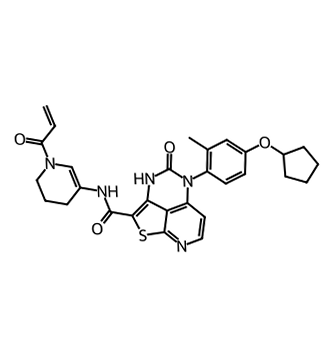 C=CC(=O)N1C=C(NC(=O)c2sc3nccc4c3c2NC(=O)N4c2ccc(OC3CCCC3)cc2C)CCC1